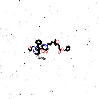 CSc1cnc2c(c1)c(C1(O)CCN(CCCc3coc(CCC(=O)OCc4ccccc4)c3)CC1)c(-c1ccccc1)n2CC1CCCO1